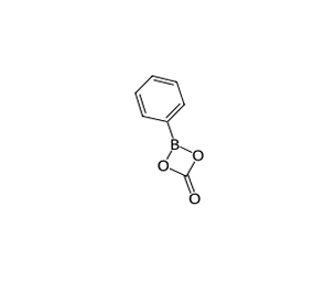 O=C1OB(c2ccccc2)O1